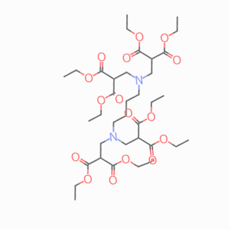 CCOC(=O)C(CN(CCCCN(CC(C(=O)OCC)C(=O)OCC)CC(C(=O)OCC)C(=O)OCC)CC(C(=O)OCC)C(=O)OCC)C(=O)OCC